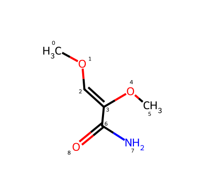 COC=C(OC)C(N)=O